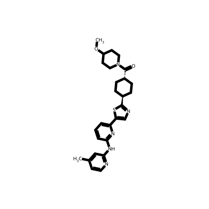 COC1CCN(C(=O)[C@H]2CC[C@H](c3ncc(-c4cccc(Nc5cc(C)ccn5)n4)s3)CC2)CC1